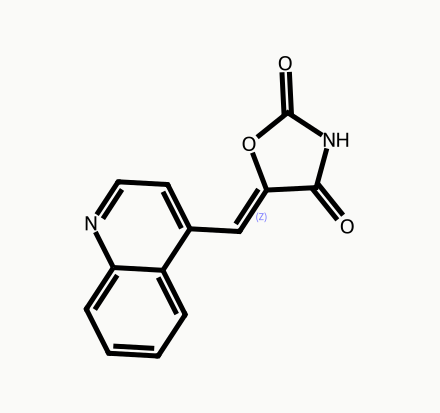 O=C1NC(=O)/C(=C/c2ccnc3ccccc23)O1